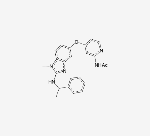 CC(=O)Nc1cc(Oc2ccc3c(c2)nc(NC(C)c2ccccc2)n3C)ccn1